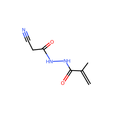 C=C(C)C(=O)NNC(=O)CC#N